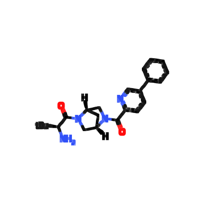 CC(C)(C)[C@H](N)C(=O)N1C[C@@H]2C[C@H]1CN2C(=O)c1ccc(-c2ccccc2)cn1